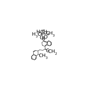 C=C=C(CCC1C=Cc2ccccc2C1C)C1=c2ccccc2=C(B2OC(C)(C)C(C)(C)O2)CC1